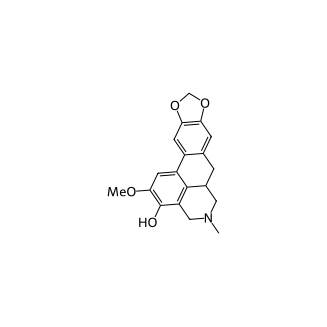 COc1cc2c3c(c1O)CN(C)CC3Cc1cc3c(cc1-2)OCO3